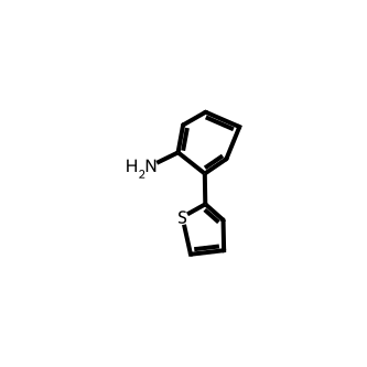 Nc1ccccc1-c1cccs1